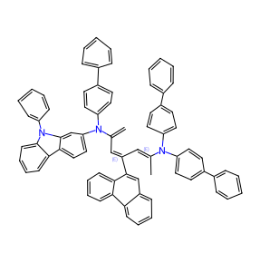 C=C(/C=C(\C=C(/C)N(c1ccc(-c2ccccc2)cc1)c1ccc(-c2ccccc2)cc1)c1cc2ccccc2c2ccccc12)N(c1ccc(-c2ccccc2)cc1)c1ccc2c3ccccc3n(-c3ccccc3)c2c1